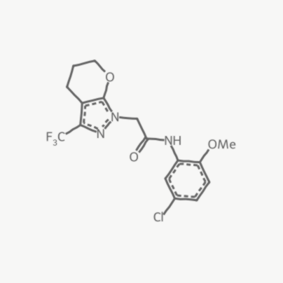 COc1ccc(Cl)cc1NC(=O)Cn1nc(C(F)(F)F)c2c1OCCC2